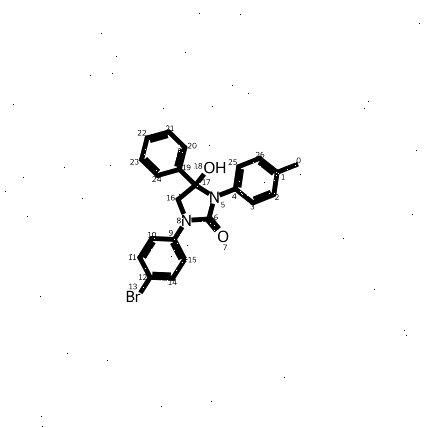 Cc1ccc(N2C(=O)N(c3ccc(Br)cc3)CC2(O)c2ccccc2)cc1